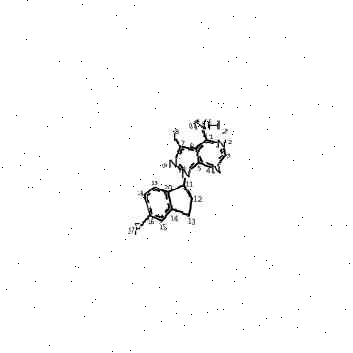 Nc1ncnc2c1c(I)nn2C1CCc2cc(F)ccc21